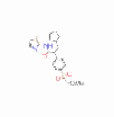 COCS(=O)(=O)c1ccc(C(CC2CCCC2)C(=O)Nc2nccs2)cc1